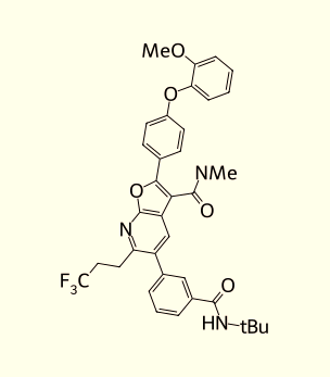 CNC(=O)c1c(-c2ccc(Oc3ccccc3OC)cc2)oc2nc(CCC(F)(F)F)c(-c3cccc(C(=O)NC(C)(C)C)c3)cc12